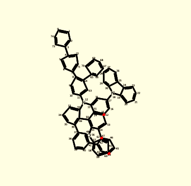 c1ccc(-c2ccc(-c3ccc(N(c4cccc(-n5c6ccccc6c6ccccc65)c4)c4cccc(-c5cccc(-c6ccccc6)c5)c4-c4cccc5c4oc4ccccc45)cc3-c3ccccc3)cc2)cc1